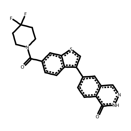 O=C(c1ccc2c(-c3ccc4c(=O)[nH]ncc4c3)csc2c1)N1CCC(F)(F)CC1